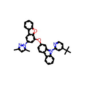 Cc1cc(C)n(-c2cc(Oc3ccc4c5ccccc5n(-c5cc(C(C)(C)C)ccn5)c4c3)c3oc4ccccc4c3c2)n1